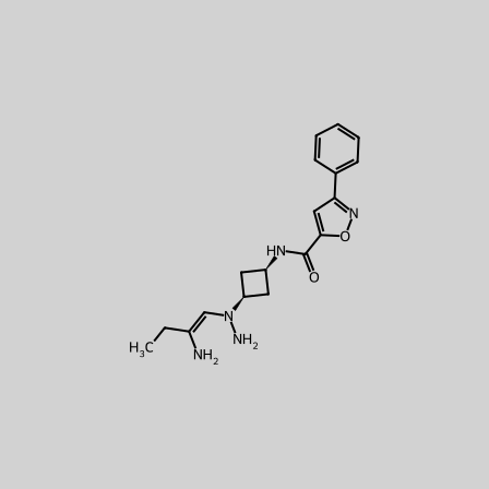 CC/C(N)=C/N(N)[C@H]1C[C@@H](NC(=O)c2cc(-c3ccccc3)no2)C1